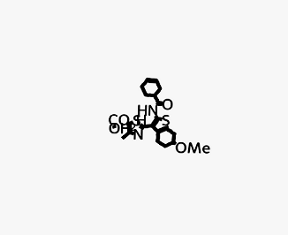 COC1CCc2c(sc(NC(=O)C3CC=CCC3)c2-c2nc(C)cs2)C1.O=C(O)O